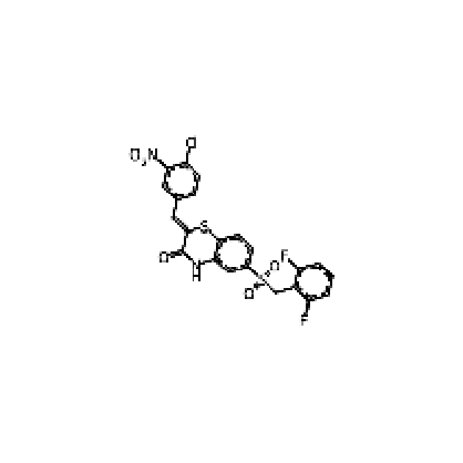 O=C1Nc2cc(S(=O)(=O)Cc3c(F)cccc3F)ccc2S/C1=C\c1ccc(Cl)c([N+](=O)[O-])c1